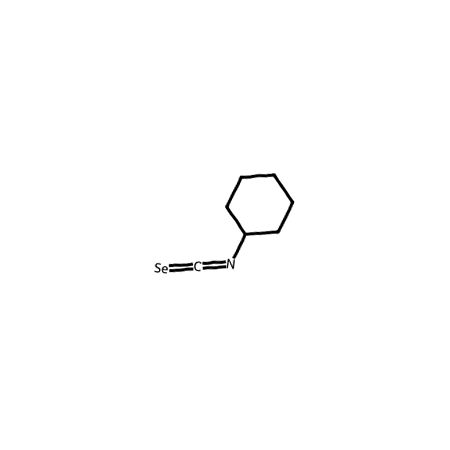 [Se]=C=NC1CCCCC1